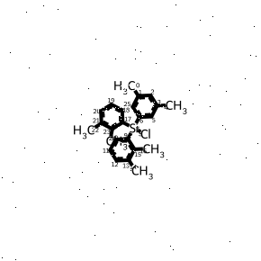 Cc1cc(C)cc([Si](Cl)(c2cccc(C)c2C)c2cccc(C)c2C)c1